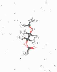 CCC(C)C(=O)OC(C)(C)C(OC(OC)C(C)C)(C(F)(F)F)C(F)(F)F